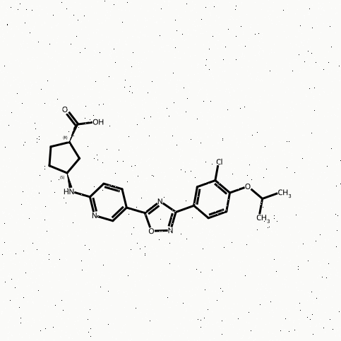 CC(C)Oc1ccc(-c2noc(-c3ccc(N[C@H]4CC[C@@H](C(=O)O)C4)nc3)n2)cc1Cl